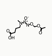 CC(=O)OCON=[N+]([O-])N(C)CCCC(=O)O